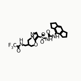 O=C(Nc1c2c(cc3c1CCC3)CCC2)NS(=O)(=O)c1cnn2c1OCC(CNC(=O)C(F)(F)F)C2